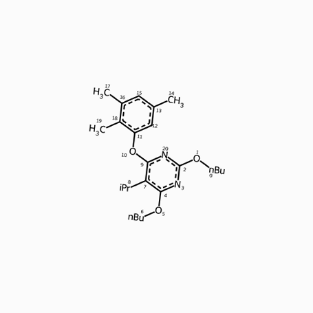 CCCCOc1nc(OCCCC)c(C(C)C)c(Oc2cc(C)cc(C)c2C)n1